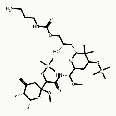 C=C1C[C@](OC)(C(O[Si](C)(C)C)C(=O)N[C@@H](OC)[C@@H]2CC(O[Si](C)(C)C)C(C)(C)[C@@H](C[C@H](O)COC(=O)NCCCN)O2)O[C@H](C)[C@@H]1C